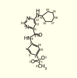 CS(=O)(=O)c1ccc(NC(=O)c2cc(NC3CCCCC3)ncn2)cc1